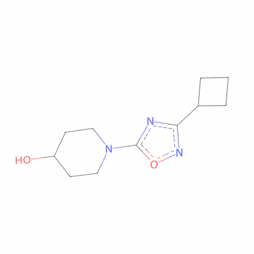 OC1CCN(c2nc(C3CCC3)no2)CC1